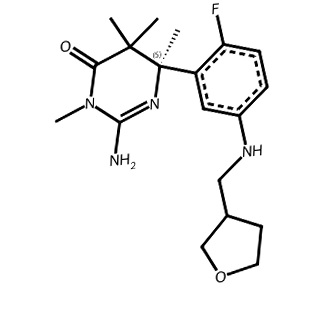 CN1C(=O)C(C)(C)[C@@](C)(c2cc(NCC3CCOC3)ccc2F)N=C1N